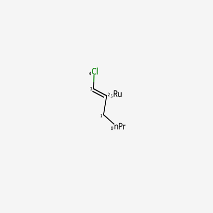 CCCCC=CCl.[Ru]